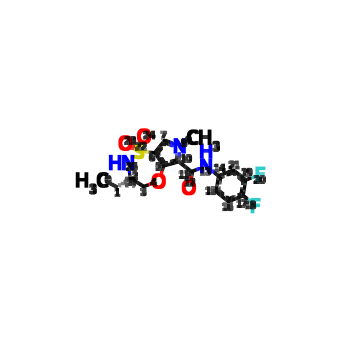 CC[C@H]1COc2c(cn(C)c2C(=O)Nc2ccc(F)c(F)c2)S(=O)(=O)N1